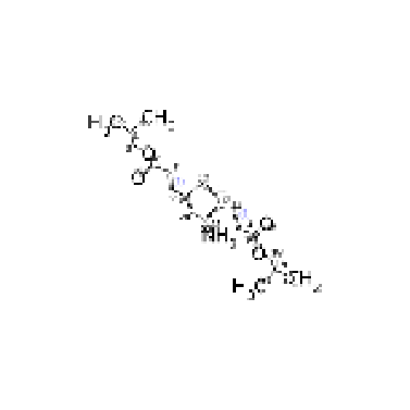 CC(C)COC(=O)/C=C/c1ccc(/C=C/C(=O)OCC(C)C)c(N)c1